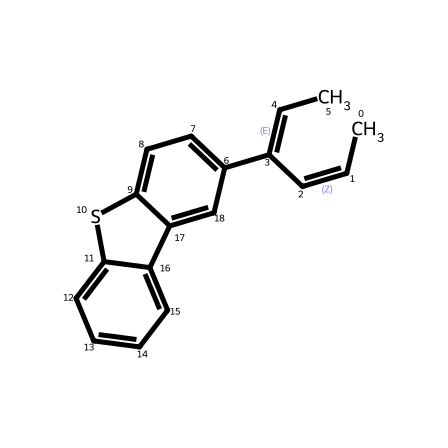 C/C=C\C(=C/C)c1ccc2sc3ccccc3c2c1